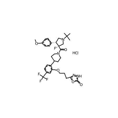 COc1ccc([C@@H]2CN(C(C)(C)C)C[C@@]2(F)C(=O)N2CCC(c3ccc(C(F)(F)F)cc3OCCCc3n[nH]c(=O)o3)CC2)cc1.Cl